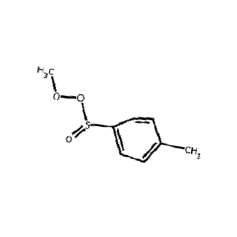 COOS(=O)c1ccc(C)cc1